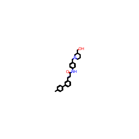 Cc1ccc(-c2cccc(/C=C/C(=O)Nc3ccc(CN4CCCC(CO)C4)cc3)c2)cc1